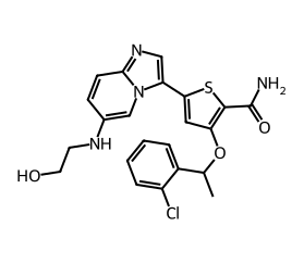 CC(Oc1cc(-c2cnc3ccc(NCCO)cn23)sc1C(N)=O)c1ccccc1Cl